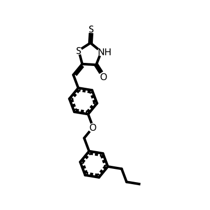 CCCc1cccc(COc2ccc(C=C3SC(=S)NC3=O)cc2)c1